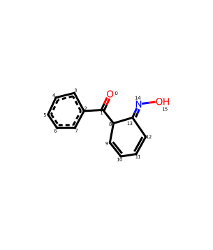 O=C(c1ccccc1)C1C=CC=CC1=NO